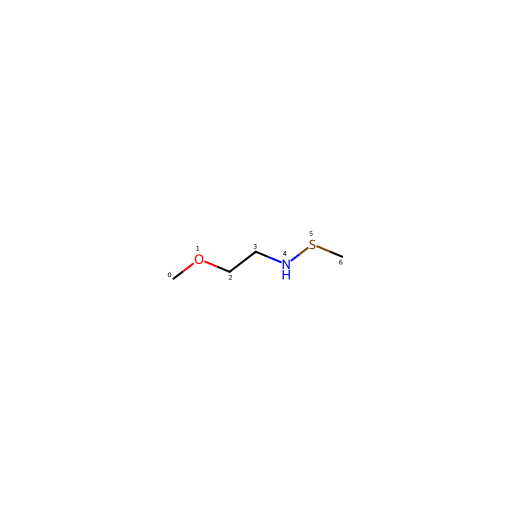 COCCNSC